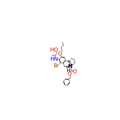 CCCCOc1cc2c(c(Br)c1NC(C)CO)C[C@H]1[C@H]3CCCC[C@@]23CCN1C(=O)OCc1ccccc1